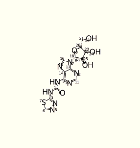 O=C(Nc1nncs1)Nc1ncnc2c1ncn2[C@@H]1O[C@H](CO)[C@@H](O)[C@H]1O